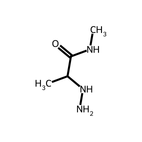 CNC(=O)C(C)NN